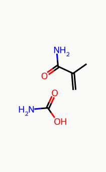 C=C(C)C(N)=O.NC(=O)O